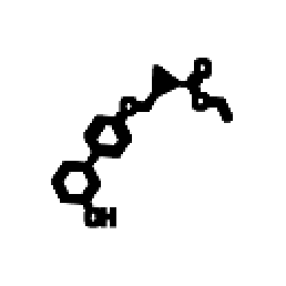 CCOC(=O)[C@H]1C[C@@H]1COc1ccc([C@@H]2CCC[C@H](O)C2)cc1